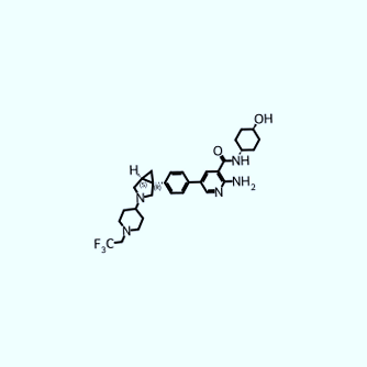 Nc1ncc(-c2ccc([C@@]34C[C@@H]3CN(C3CCN(CC(F)(F)F)CC3)C4)cc2)cc1C(=O)N[C@H]1CC[C@H](O)CC1